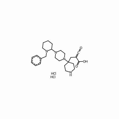 Cl.Cl.O=C=C(CC1(N2CCN(C3CCCCN3Cc3ccccc3)CC2)CCNCC1)C(=O)O